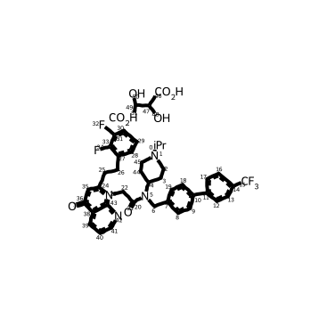 CC(C)N1CCC(N(Cc2ccc(-c3ccc(C(F)(F)F)cc3)cc2)C(=O)Cn2c(CCc3cccc(F)c3F)cc(=O)c3cccnc32)CC1.O=C(O)C(O)C(O)C(=O)O